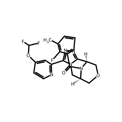 Cc1cccc(C(=O)N2[C@H]3COC[C@@H]2c2nnc(-c4cc(OC(F)F)ccn4)n2C3)c1F